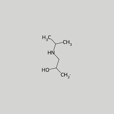 [CH2]C(O)CNC(C)C